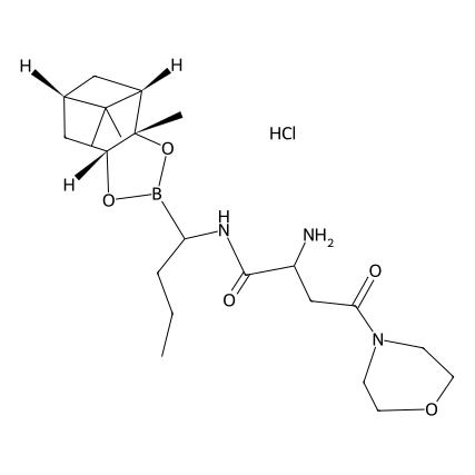 CCCC(NC(=O)C(N)CC(=O)N1CCOCC1)B1O[C@@H]2C[C@@H]3C[C@@H](C3(C)C)[C@]2(C)O1.Cl